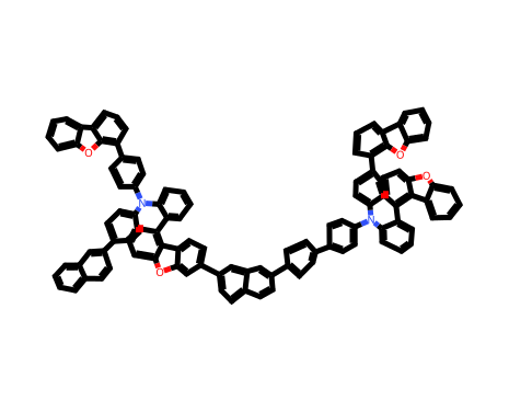 c1ccc(N(c2ccc(-c3ccc(-c4ccc5ccc(-c6ccc7c(c6)oc6cccc(-c8ccccc8N(c8ccc(-c9ccc%10ccccc%10c9)cc8)c8ccc(-c9cccc%10c9oc9ccccc9%10)cc8)c67)cc5c4)cc3)cc2)c2ccc(-c3cccc4c3oc3ccccc34)cc2)c(-c2cccc3oc4ccccc4c23)c1